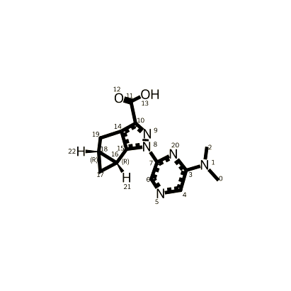 CN(C)c1cncc(-n2nc(C(=O)O)c3c2[C@@H]2C[C@@H]2C3)n1